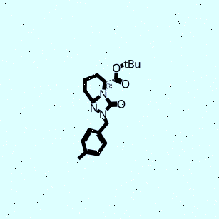 Cc1ccc(Cn2nc3n(c2=O)[C@@H](C(=O)OC(C)(C)C)CCC3)cc1